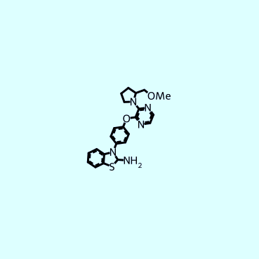 COCC1CCCN1c1nccnc1Oc1ccc(N2c3ccccc3SC2N)cc1